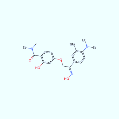 CCN(C)C(=O)c1ccc(OC/C(=N\O)c2ccc(N(CC)CC)c(C(C)(C)C)c2)cc1O